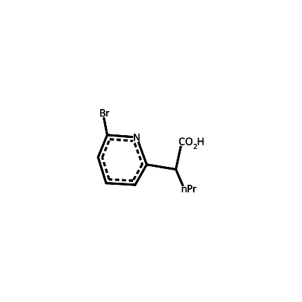 CCCC(C(=O)O)c1cccc(Br)n1